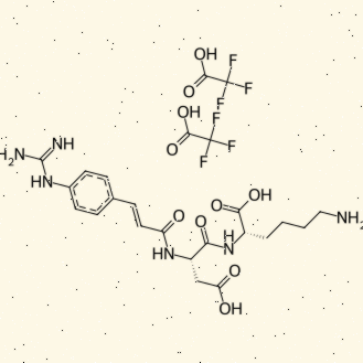 N=C(N)Nc1ccc(C=CC(=O)N[C@@H](CC(=O)O)C(=O)N[C@@H](CCCCN)C(=O)O)cc1.O=C(O)C(F)(F)F.O=C(O)C(F)(F)F